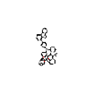 CC1(C)c2ccccc2-c2ccc(N(c3ccc(-c4cccc5c4oc4ccccc45)cc3)c3cccc4c3-c3cc(-c5ccccc5)c5ccccc5c3C4(C)C)cc21